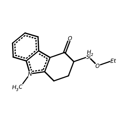 CCO[SiH2]C1CCc2c(c3ccccc3n2C)C1=O